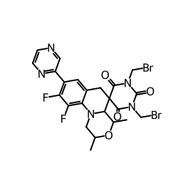 CC1CN2c3c(cc(-c4cnccn4)c(F)c3F)CC3(C(=O)N(CBr)C(=O)N(CBr)C3=O)C2C(C)O1